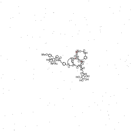 COc1ccc(C[C@H](NC(=O)[C@@H](NC(C)=O)[C@@H](C)O)C(=O)N2CCC[C@@]2(C)C(=O)NCCc2ccc(CN3CCCCn4cc5c6cc(ccc64)N(CCC3=O)[C@@H](C)C(=O)N[C@H](CNC(=O)CCC(=O)NC3OC(CO)C(O)C(O)C3O)C(=O)N[C@H]3Cc4cccc(c4)CNC(=O)CO[C@H]4CCN(C(=O)[C@H](C5)NC3=O)[C@@H]4C)cc2)cc1